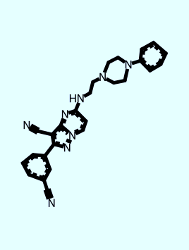 N#Cc1cccc(-c2nn3ccc(NCCN4CCN(c5ccccc5)CC4)nc3c2C#N)c1